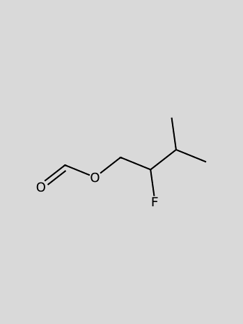 CC(C)C(F)COC=O